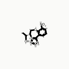 CC(O)[C@@H]1COc2c(cccc2[N+](=O)[O-])-c2nnnn21